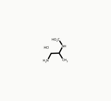 CC(CN)NC(=O)O.Cl